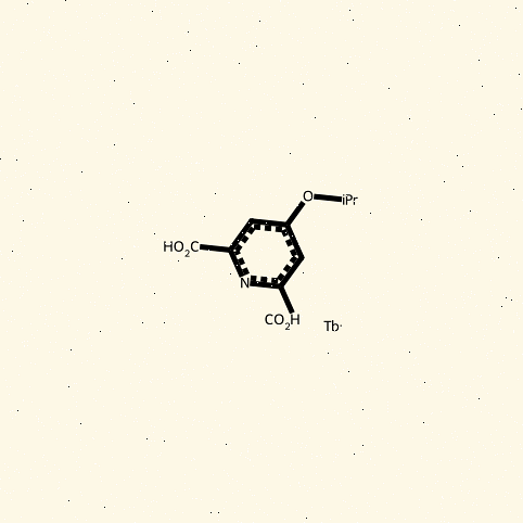 CC(C)Oc1cc(C(=O)O)nc(C(=O)O)c1.[Tb]